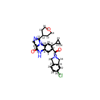 O=C(c1cc2[nH]c(=O)c3cnc(C4CCOCC4)n3c2cc1C1CC1)N1Cc2ccc(Cl)cc2C1